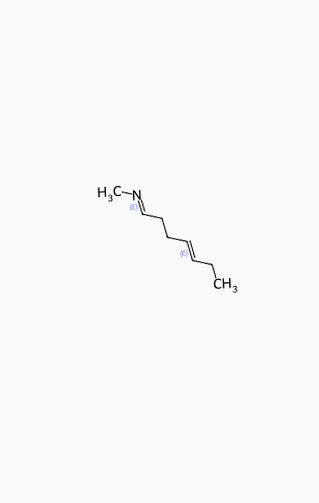 CC/C=C/CC/C=N/C